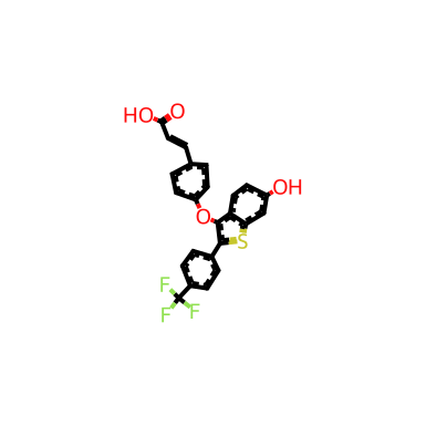 O=C(O)/C=C/c1ccc(Oc2c(-c3ccc(C(F)(F)F)cc3)sc3cc(O)ccc23)cc1